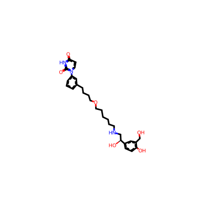 O=c1ccn(-c2cccc(CCCCOCCCCCCNC[C@H](O)c3ccc(O)c(CO)c3)c2)c(=O)[nH]1